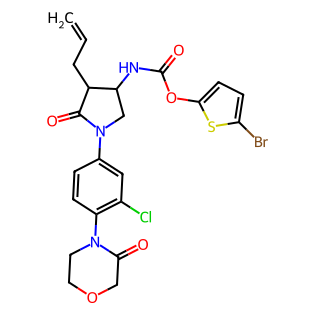 C=CCC1C(=O)N(c2ccc(N3CCOCC3=O)c(Cl)c2)CC1NC(=O)Oc1ccc(Br)s1